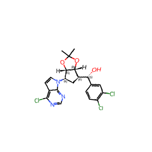 CC1(C)O[C@@H]2[C@@H]([C@H](O)c3ccc(Cl)c(Cl)c3)C[C@@H](n3ccc4c(Cl)ncnc43)[C@@H]2O1